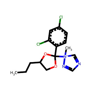 CCCC1COC(c2ccc(Cl)cc2Cl)([N+]2(C)C=NC=N2)O1